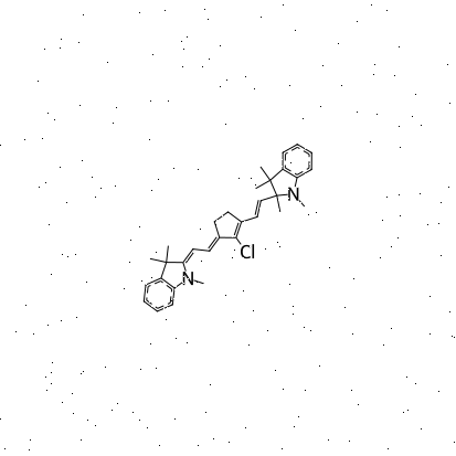 CN1/C(=C\C=C2/CCC(/C=C/C3(C)N(C)c4ccccc4C3(C)C)=C2Cl)C(C)(C)c2ccccc21